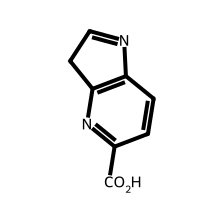 O=C(O)c1ccc2c(n1)CC=N2